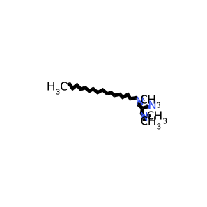 CCCCCCCCCCCCCCCCCCN(C)CC(C#N)CN(C)C